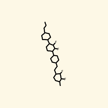 CCCC1CCC(C2CCC(C3CCC(CCC4CCC(C)C(F)C4F)CC3)C(F)C2F)CC1